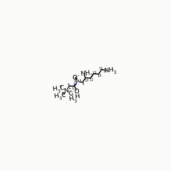 C[N+](C)(C)C/C(O)=[P+](\[O-])CC(N)CCCCN